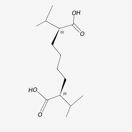 CC(C)[C@H](CCCC[C@H](C(=O)O)C(C)C)C(=O)O